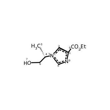 CCOC(=O)c1cn([C@@H](C)CO)cn1